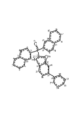 O=P(c1ccc2ccccc2c1)(c1ccc2ccccc2c1)c1nc2ccc(-c3ccccc3)cc2o1